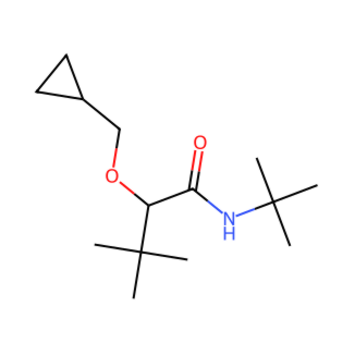 CC(C)(C)NC(=O)C(OCC1CC1)C(C)(C)C